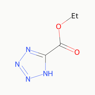 CCOC(=O)c1nnn[nH]1